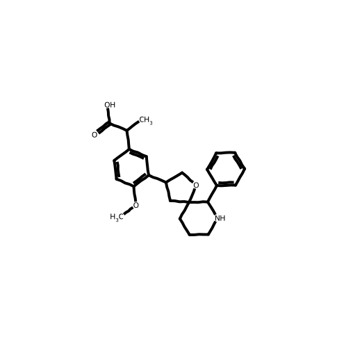 COc1ccc(C(C)C(=O)O)cc1C1COC2(CCCNC2c2ccccc2)C1